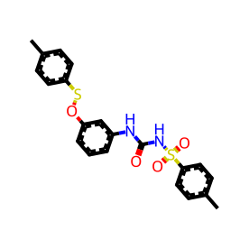 Cc1ccc(SOc2cccc(NC(=O)NS(=O)(=O)c3ccc(C)cc3)c2)cc1